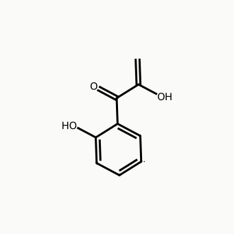 C=C(O)C(=O)c1c[c]ccc1O